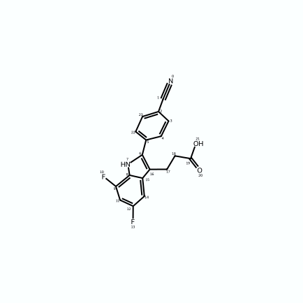 N#Cc1ccc(-c2[nH]c3c(F)cc(F)cc3c2CCC(=O)O)cc1